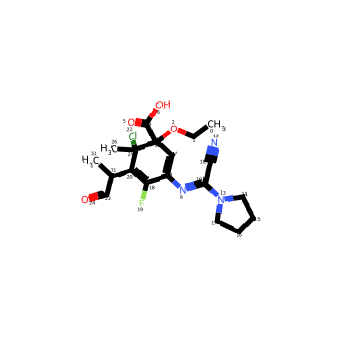 CCOC1(C(=O)O)C=C(N=C(C#N)N2CCCC2)C(F)=C(C(C)C=O)C1(C)Cl